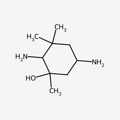 CC1(C)CC(N)CC(C)(O)C1N